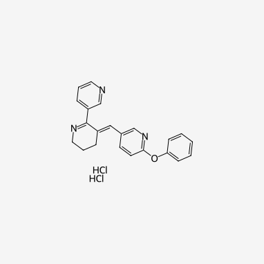 C(=C1CCCN=C1c1cccnc1)c1ccc(Oc2ccccc2)nc1.Cl.Cl